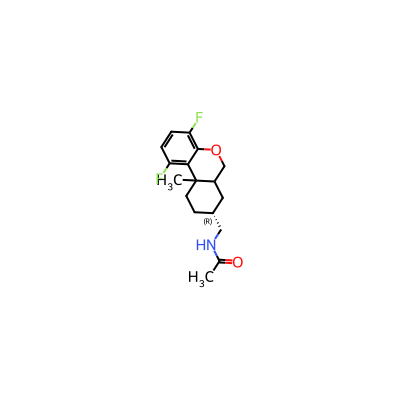 CC(=O)NC[C@@H]1CCC2(C)c3c(F)ccc(F)c3OCC2C1